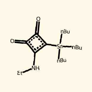 CCC[CH2][Sn]([CH2]CCC)([CH2]CCC)[c]1c(NCC)c(=O)c1=O